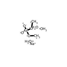 CO[As](=O)([O-])OC.O.O.O.[Na+]